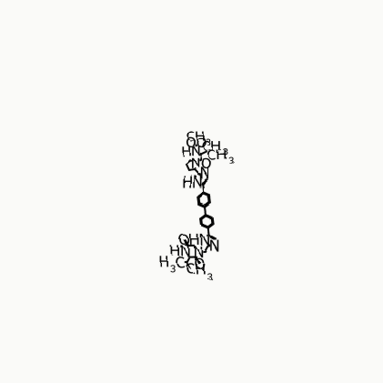 COC(=O)NC(C(=O)N1CCCC1c1ncc(-c2ccc(-c3ccc(-c4cnc(CN5CC(=O)NC(C(C)C)C5=O)[nH]4)cc3)cc2)[nH]1)C(C)C